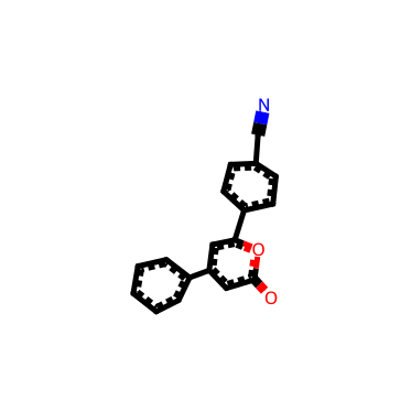 N#Cc1ccc(-c2cc(-c3ccccc3)cc(=O)o2)cc1